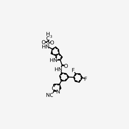 CS(=O)(=O)Nc1ccc2cc(C(=O)Nc3cc(-c4ccc(C#N)nc4)cc(-c4ccc(F)cc4F)c3)[nH]c2c1